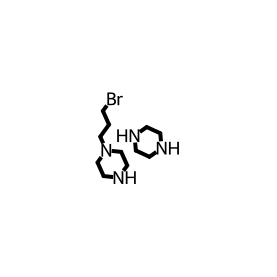 BrCCCN1CCNCC1.C1CNCCN1